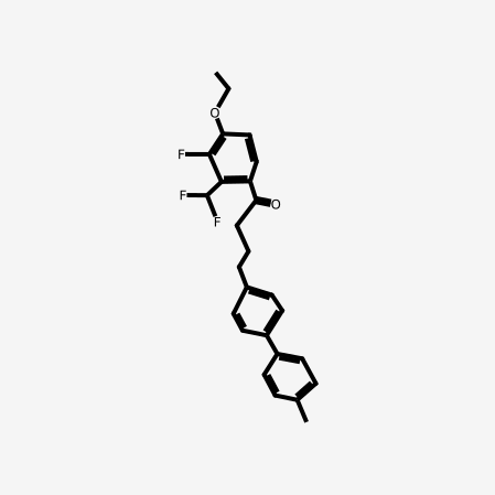 CCOc1ccc(C(=O)CCCc2ccc(-c3ccc(C)cc3)cc2)c(C(F)F)c1F